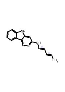 C/C=C/C=N/Nc1nnc2c(n1)[nH]c1ccccc12